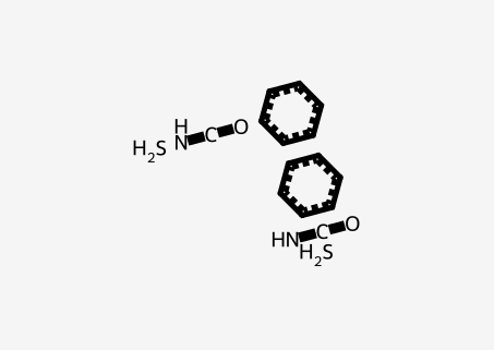 N=C=O.N=C=O.S.S.c1ccccc1.c1ccccc1